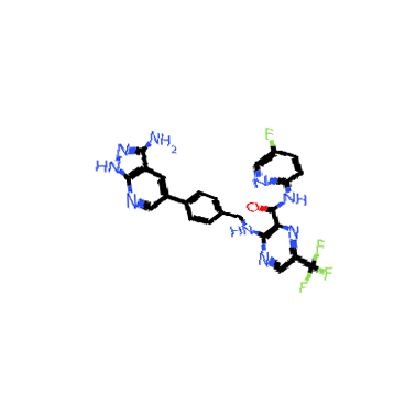 Nc1n[nH]c2ncc(-c3ccc(CNc4ncc(C(F)(F)F)nc4C(=O)Nc4ccc(F)cn4)cc3)cc12